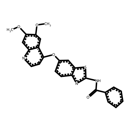 COc1cc2nccc(Oc3ccc4nc(NC(=O)c5ccccc5)sc4c3)c2cc1OC